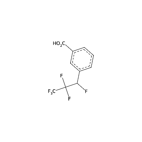 O=C(O)c1cccc(C(F)C(F)(F)C(F)(F)F)c1